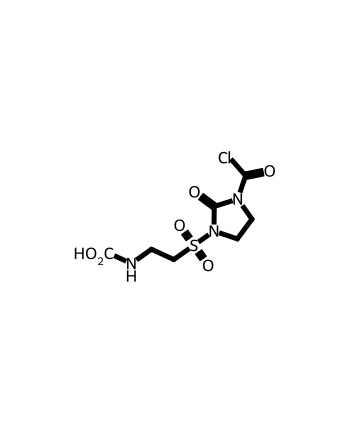 O=C(O)NCCS(=O)(=O)N1CCN(C(=O)Cl)C1=O